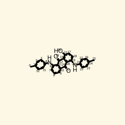 Cc1ccc(Nc2cccc3c2C(=O)c2c(O)ccc(Nc4ccc(C)cc4)c2C3=O)cc1